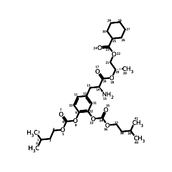 CC(C)CCOC(=O)Oc1ccc(C[C@H](N)C(=O)O[C@@H](C)COC(=O)C2CCCCC2)cc1OC(=O)OCCC(C)C